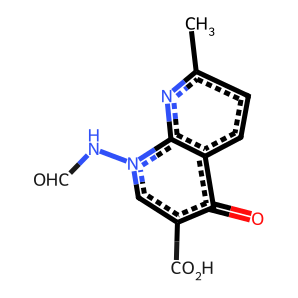 Cc1ccc2c(=O)c(C(=O)O)cn(NC=O)c2n1